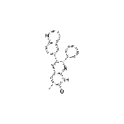 Cc1cc2nc(-c3ccc4ncccc4c3)c(-c3ccccc3)nc2[nH]c1=O